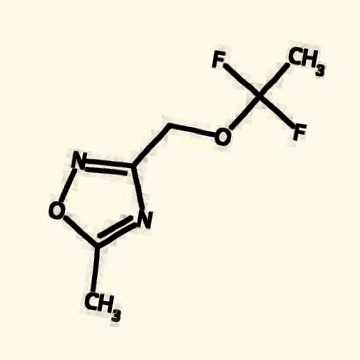 Cc1nc(COC(C)(F)F)no1